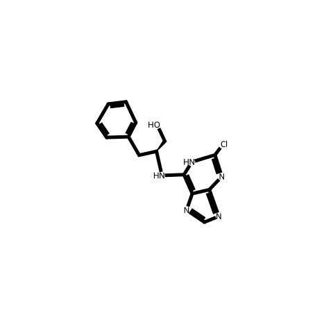 OC[C@H](Cc1ccccc1)Nc1[nH]c(Cl)nc2ncnc1-2